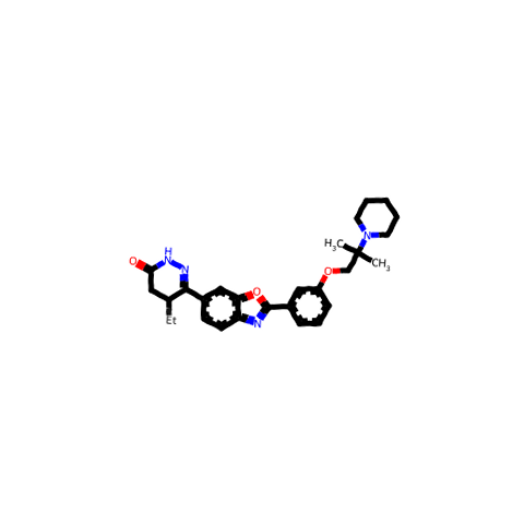 CCC1CC(=O)NN=C1c1ccc2nc(-c3cccc(OCC(C)(C)N4CCCCC4)c3)oc2c1